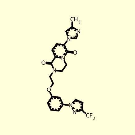 Cc1cn(-c2ccc3n(c2=O)CCN(CCOc2cccc(-n4ccc(C(F)(F)F)n4)c2)C3=O)cn1